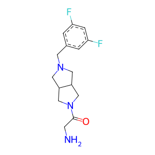 NCC(=O)N1CC2CN(Cc3cc(F)cc(F)c3)CC2C1